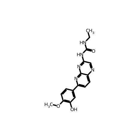 CCNC(=O)Nc1cnc2ccc(-c3ccc(OC)c(O)c3)nc2n1